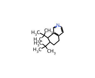 CC(C)(C)C1CCc2ccncc2C1C(C)(C)C